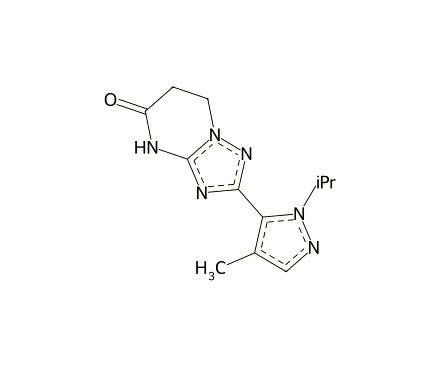 Cc1cnn(C(C)C)c1-c1nc2n(n1)CCC(=O)N2